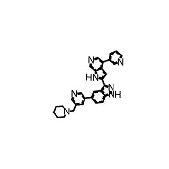 c1cncc(-c2cncc3[nH]c(-c4n[nH]c5ccc(-c6cncc(CN7CCCCC7)c6)cc45)cc23)c1